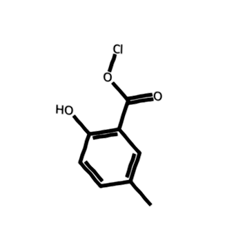 Cc1ccc(O)c(C(=O)OCl)c1